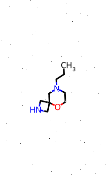 CCCN1CCOC2(CNC2)C1